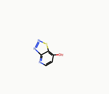 Oc1ccnc2nnsc12